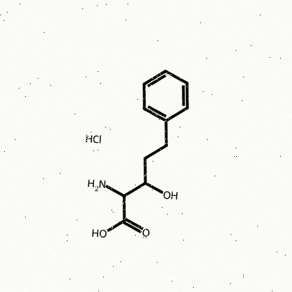 Cl.NC(C(=O)O)C(O)CCc1ccccc1